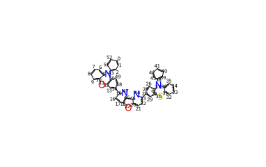 c1ccc(N2c3ccccc3Oc3cc(-c4ccc5oc6ccc(-c7ccc8c(c7)Sc7ccccc7N8c7ccccc7)nc6c5n4)ccc32)cc1